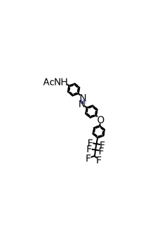 CC(=O)Nc1ccc(/N=N/c2ccc(Oc3ccc(C(F)(F)C(F)(F)C(F)F)cc3)cc2)cc1